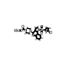 CC(C)(C)OC(=O)N1CCN(c2nc3ccccc3c3c2ccn3S(=O)(=O)c2ccc(Cl)s2)CC1